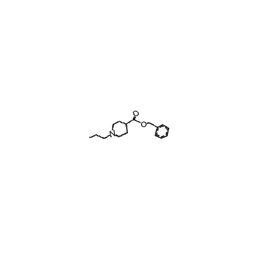 CCCN1CCC(C(=O)OCc2ccccc2)CC1